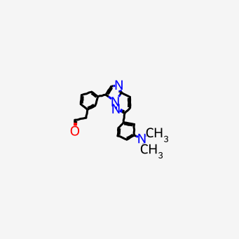 CN(C)c1cccc(-c2ccc3ncc(-c4cccc(CC=O)c4)n3n2)c1